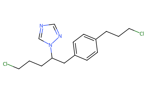 ClCCCc1ccc(CC(CCCCl)n2cncn2)cc1